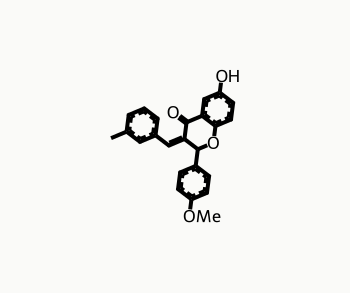 COc1ccc(C2Oc3ccc(O)cc3C(=O)C2=Cc2cccc(C)c2)cc1